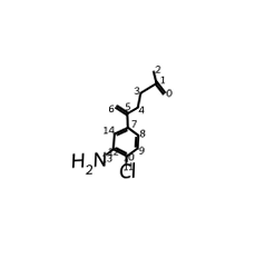 C=C(C)CCC(=C)c1ccc(Cl)c(N)c1